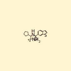 NC1(C(NC(=O)c2ccc3ccsc3c2)C2CCCC2)CC1